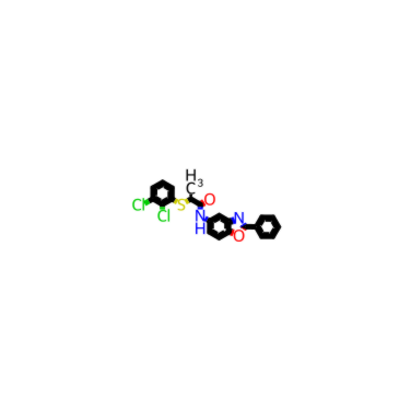 C[C@H](Sc1cccc(Cl)c1Cl)C(=O)Nc1ccc2oc(-c3ccccc3)nc2c1